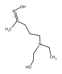 CCN(CCO)CCC/C(C)=N\O